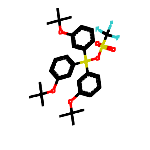 CC(C)(C)Oc1cccc(S(OS(=O)(=O)C(F)(F)F)(c2cccc(OC(C)(C)C)c2)c2cccc(OC(C)(C)C)c2)c1